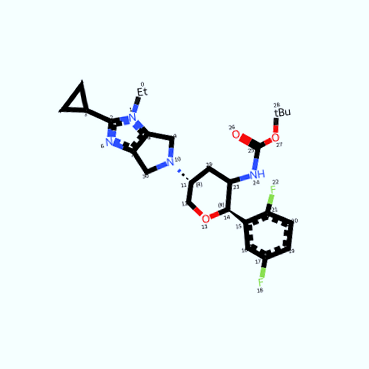 CCn1c(C2CC2)nc2c1CN([C@H]1CO[C@H](c3cc(F)ccc3F)C(NC(=O)OC(C)(C)C)C1)C2